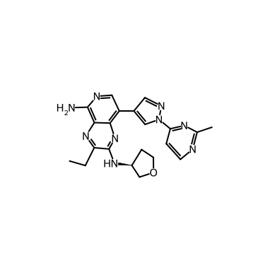 CCc1nc2c(N)ncc(-c3cnn(-c4ccnc(C)n4)c3)c2nc1N[C@H]1CCOC1